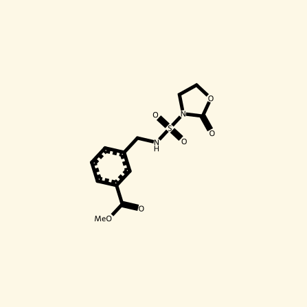 COC(=O)c1cccc(CNS(=O)(=O)N2CCOC2=O)c1